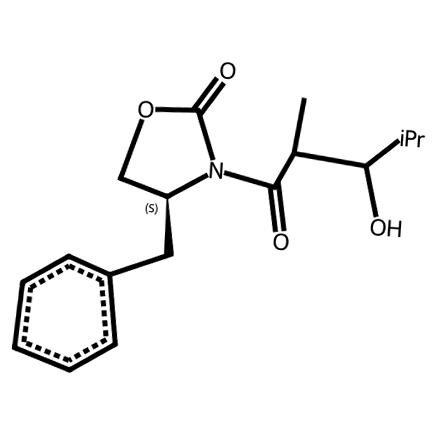 CC(C)C(O)C(C)C(=O)N1C(=O)OC[C@@H]1Cc1ccccc1